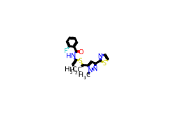 C=C(S/C(=C\C)NC(=O)c1ccccc1F)c1cc(-c2nccs2)nn1C